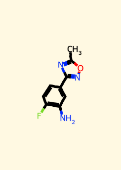 Cc1nc(-c2ccc(F)c(N)c2)no1